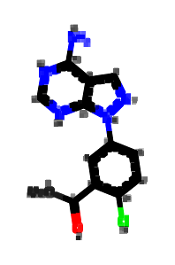 COC(=O)c1cc(-n2ncc3c(N)ncnc32)ccc1Cl